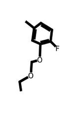 CCOCOc1cc(C)ccc1F